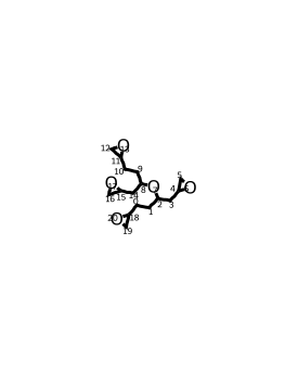 C(CC(CC1CO1)OC(CCC1CO1)CC1CO1)C1CO1